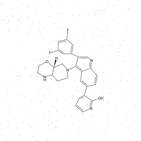 Oc1ncccc1-c1ccc2ncc(-c3cc(F)cc(F)c3)c(N3CCC4NCCO[C@@H]4C3)c2c1